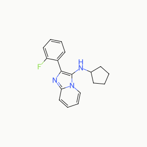 Fc1ccccc1-c1nc2ccccn2c1NC1CCCC1